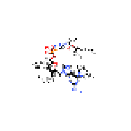 C=C[C@H]1[C@H](C)[C@H](Cn2cnc3c(N(C)C)nc(N)nc32)O[C@@H]1CO[P@](=O)(O)CN[C@@H](C=C)C(=O)OC(C)C